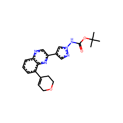 CC(C)(C)OC(=O)Nn1cc(-c2cnc3cccc(C4=CCOCC4)c3n2)cn1